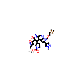 Cc1cc(-c2c(C3CCN(C(=O)OC(C)(C)C)C3)c3c4cc(-c5cnn(C)c5)n(COCCS(C)(C)C)c4ncc3n(C)c2=O)on1